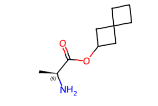 C[C@H](N)C(=O)OC1CC2(CCC2)C1